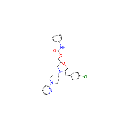 O=C(Nc1ccccc1)OCC1CN(C2CCN(c3ccccn3)CC2)C(Cc2ccc(Cl)cc2)CO1